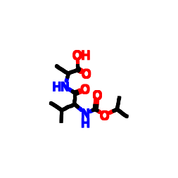 CC(C)OC(=O)NC(C(=O)NC(C)C(=O)O)C(C)C